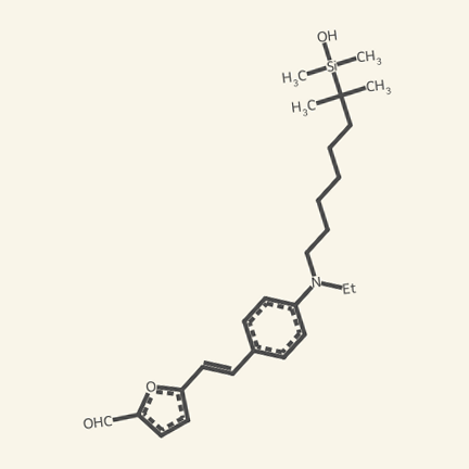 CCN(CCCCCCC(C)(C)[Si](C)(C)O)c1ccc(/C=C/c2ccc(C=O)o2)cc1